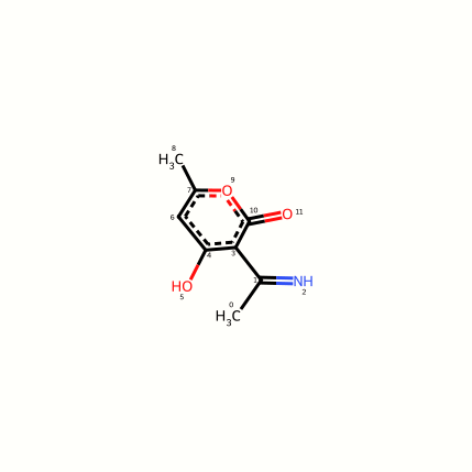 CC(=N)c1c(O)cc(C)oc1=O